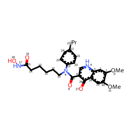 COc1cc2[nH]cc(C(=O)N(CCCCCC(=O)NO)c3ccc(C(C)C)cc3)c(=O)c2cc1OC